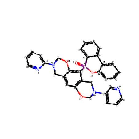 O=P1(c2c3c(cc4c2OCN(c2ccccn2)C4)OCN(c2cccnc2)C3)Oc2ccccc2-c2ccccc21